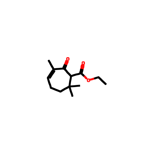 CCOC(=O)C1C(=O)C(C)=CCCC1(C)C